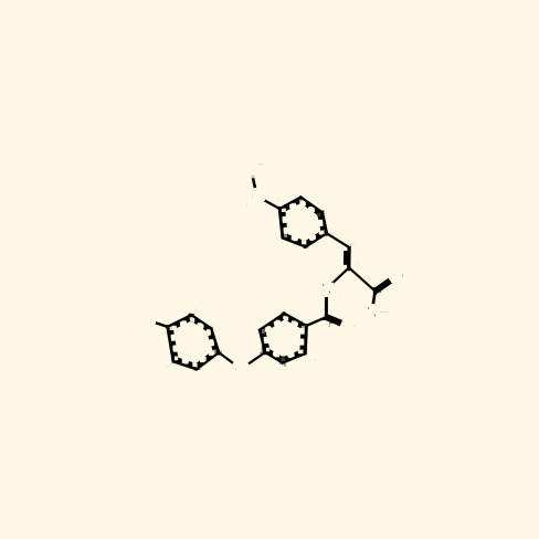 NC(=O)C(=Cc1ccc(OC(F)(F)F)cc1)NC(=O)c1ccc(Oc2ccc(C(F)(F)F)cc2)cc1